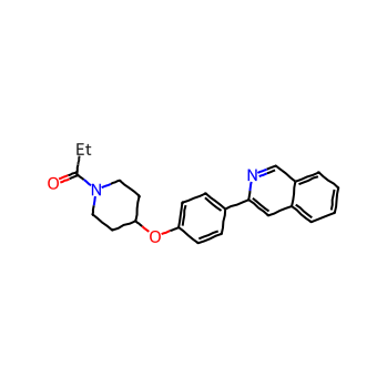 CCC(=O)N1CCC(Oc2ccc(-c3cc4ccccc4cn3)cc2)CC1